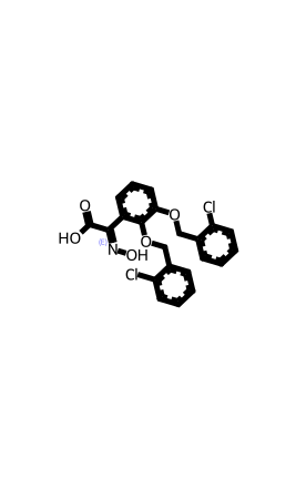 O=C(O)/C(=N/O)c1cccc(OCc2ccccc2Cl)c1OCc1ccccc1Cl